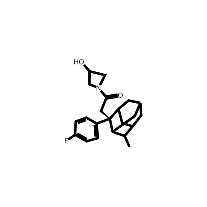 CC1C2CC3CC(C2)[C@@](CC(=O)N2CC(O)C2)(c2ccc(F)cc2)C1C3